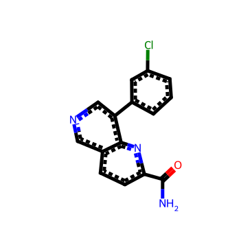 NC(=O)c1ccc2cncc(-c3cccc(Cl)c3)c2n1